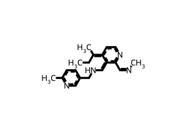 CC/C(C)=c1/ccnc(/C=N\C)/c1=C/NCc1ccc(C)nc1